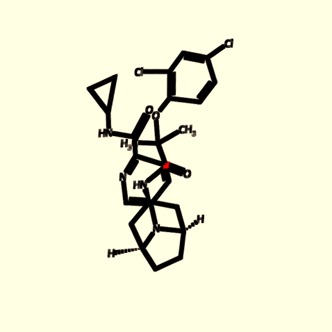 CC(C)(Oc1ccc(Cl)cc1Cl)C(=O)N[C@H]1C[C@H]2CC[C@@H](C1)N2c1ccc(C(=O)NC2CC2)nc1